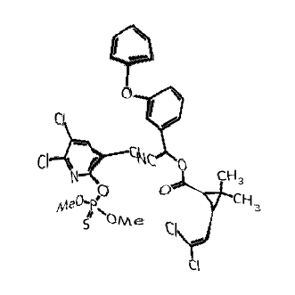 CC1(C)[C@H](C(=O)OC(C#N)c2cccc(Oc3ccccc3)c2)[C@@H]1C=C(Cl)Cl.COP(=S)(OC)Oc1nc(Cl)c(Cl)cc1Cl